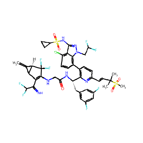 C=C1C2C(C(=N)C(F)F)=C(NCC(=O)N[C@@H](Cc3cc(F)cc(F)c3)c3nc(C=CC(C)(C)S(C)(=O)=O)ccc3-c3ccc(Cl)c4c(NS(=O)(=O)C5CC5)nn(CC(F)F)c34)C(F)(F)[C@H]12